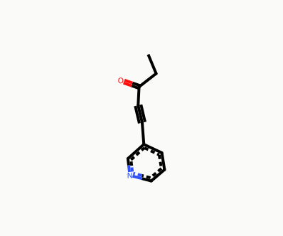 CCC(=O)C#Cc1cccnc1